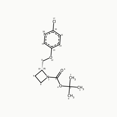 CC(C)(C)OC(=O)N1CC[C@@H]1COc1ccc(Cl)nc1